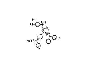 Cl.Cl.O=C(NCC(CCCN1CCC(O)(c2ccc(Cl)cc2)CC1)(c1ccccc1)c1ccc(F)cc1)C1CCN(C(=O)c2ccncc2)CC1